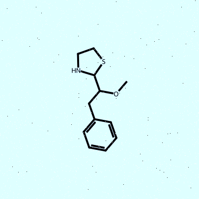 COC(Cc1ccccc1)C1NCCS1